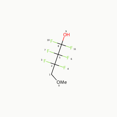 COCC(F)(F)C(F)(F)C(O)(F)F